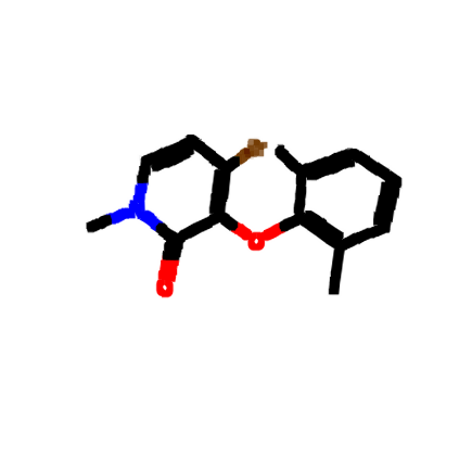 Cc1cccc(C)c1Oc1c(Br)ccn(C)c1=O